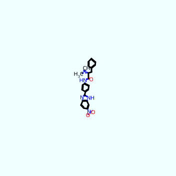 CN(C)C(Cc1ccccc1)C(=O)Nc1ccc(-c2nc3ccc([N+](=O)[O-])cc3[nH]2)cc1